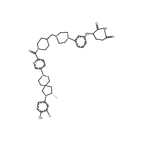 C[C@H]1CC2(CCN(c3ccc(C(=O)N4CCC(CN5CCN(c6cccc(NC7CCC(=O)NC7=O)c6)CC5)CC4)nc3)CC2)CN1c1ccc(C#N)c(Cl)c1